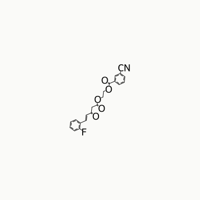 N#Cc1cccc(C(=O)OCCOC(=O)CC(=O)C=Cc2ccccc2F)c1